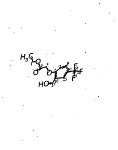 CCOC(=O)COc1ccc(C(F)(F)F)cc1CO